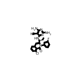 CC[C@H](Nc1nc(N)nc(N)c1C#N)c1cc2cccc(Cl)c2c(=O)n1-c1cccc(F)c1